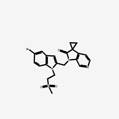 CS(=O)(=O)CCn1c(CN2C(=O)C3(CC3)c3ccncc32)cc2cc(Br)ccc21